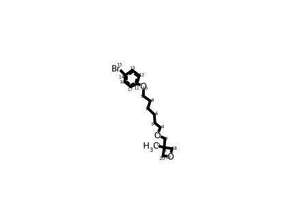 CC1(COCCCCCCOc2ccc(Br)cc2)COC1